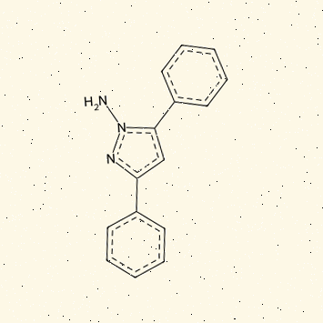 Nn1nc(-c2ccccc2)cc1-c1ccccc1